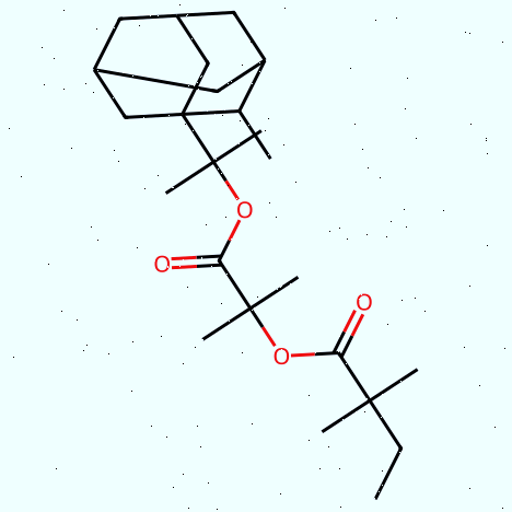 CCC(C)(C)C(=O)OC(C)(C)C(=O)OC(C)(C)C12CC3CC(CC(C3)C1C)C2